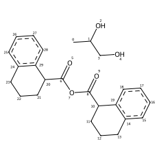 CC(O)CO.O=C(OC(=O)C1CCCc2ccccc21)C1CCCc2ccccc21